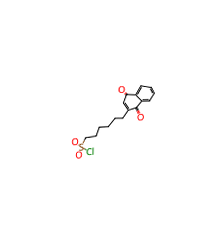 O=C1C=C(CCCCCCS(=O)(=O)Cl)C(=O)c2ccccc21